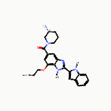 CCn1c(-c2nc3cc(C(=O)N4CCC[C@@H](N)C4)cc(OCCOC)c3n2C)cc2ccccc21